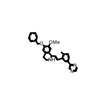 COc1cc2c(cc1OCc1ccccc1)CCNC2/C=C/c1cc(-c2cnccn2)ccc1C